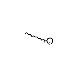 CCCCCCCCCCCC[P]C1CCCCCCCC1